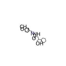 COc1ccc(/C=N/NC(=O)CC(CO)C2=CCCCC2)cc1